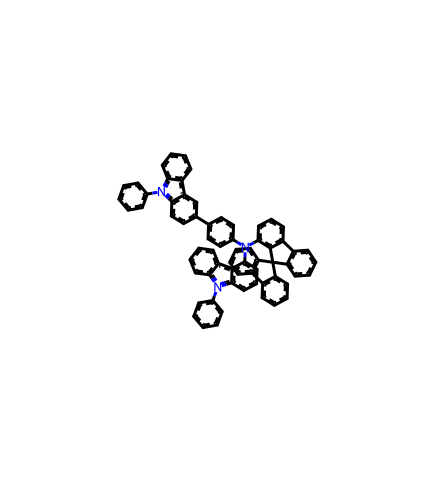 c1ccc(-n2c3ccccc3c3cc(-c4ccc(N(c5cccc6c5C5(c7ccccc7-c7ccccc75)c5ccccc5-6)c5cccc6c5c5ccccc5n6-c5ccccc5)cc4)ccc32)cc1